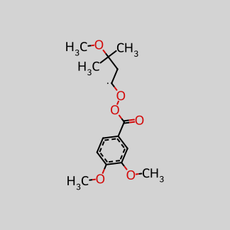 COc1ccc(C(=O)OO[CH]CC(C)(C)OC)cc1OC